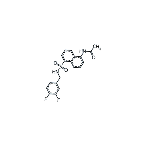 CC(=O)Nc1cccc2c(S(=O)(=O)NCc3ccc(F)c(F)c3)cccc12